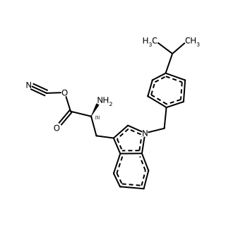 CC(C)c1ccc(Cn2cc(C[C@H](N)C(=O)OC#N)c3ccccc32)cc1